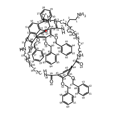 NCCN1CCNC(=O)c2ccc(c(OCc3ccccc3)c2OCc2ccccc2)CNCCN2CCNC(=O)c3ccc(c(OCc4ccccc4)c3OCc3ccccc3)C(=O)NCCN(CCNC(=O)c3ccc(c(OCc4ccccc4)c3OCc3ccccc3)C(=O)NCC2)CC1